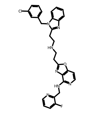 Fc1cccnc1CNc1nccc2oc(CCNCCc3nc4ccccc4n3Cc3cccc(Cl)c3)nc12